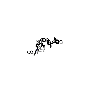 C/C(=C\C(=O)O)c1ccc2nc(CN3CCC(Oc4ccc(F)c(COc5ccc(Cl)cc5F)n4)CC3)n(CC3(CC#N)CC3)c2n1